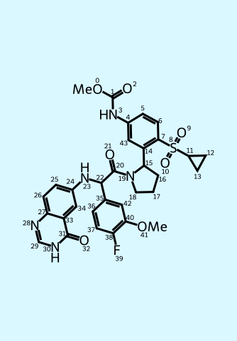 COC(=O)Nc1ccc(S(=O)(=O)C2CC2)c(C2CCCN2C(=O)C(Nc2ccc3nc[nH]c(=O)c3c2)c2ccc(F)c(OC)c2)c1